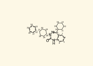 O=C1Nc2ccccc2C(C2CCCCC2)=NN1[C@H]1CC[C@@H](c2ccccc2)CC1